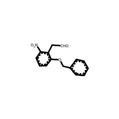 O=CCc1c(OCc2ccccc2)cccc1[N+](=O)[O-]